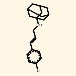 Clc1ccc(/C=C/CNC23CC4CC(CC(C4)C2)C3)cc1